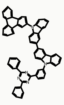 c1ccc(-c2nc(-c3ccccc3)nc(-c3cccc(-n4c5ccccc5c5cc(-c6ccc7c(c6)c6ccccc6n7-c6ccc7c8ccccc8c8ccccc8c7c6)ccc54)c3)n2)cc1